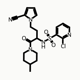 CC1CCN(C(=O)C(CCn2cccc2C#N)NS(=O)(=O)c2cccnc2Cl)CC1